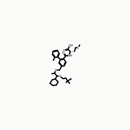 CSCC[C@H](NC(=O)c1ccc(COC(C)C(OCCC(C)(C)C)C2CCCCC2)cc1-c1ccccc1C)C(=O)O